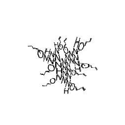 C=CC=COCNc1nc(NCOC=CC=C)nc(N(COC=CC=C)c2nc(N(COC=CC=C)c3nc(NCOC=CC=C)nc(NCOC=CC=C)n3)nc(N(COC=CC=C)c3nc(NCOC=CC=C)nc(NCOC=CC=C)n3)n2)n1